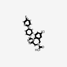 O=C(O)N1Cc2cc(Cl)ccc2-n2c(nnc2[C@H]2CC[C@H](c3ccc(F)cn3)CC2)C1